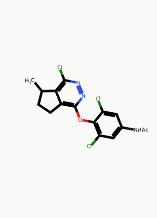 CC(=O)Nc1cc(Cl)c(Oc2nnc(Cl)c3c2CCC3C)c(Cl)c1